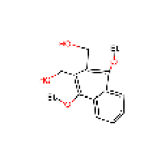 CCOc1c(CO)c(CO)c(OCC)c2ccccc12